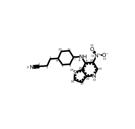 N#CCCC1CCC(Nc2c([N+](=O)[O-])cnc3ccsc23)CC1